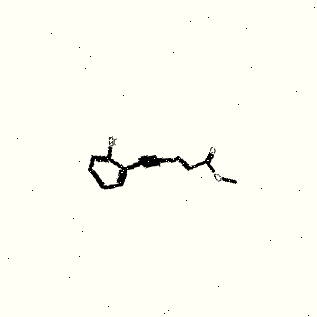 COC(=O)CCC#Cc1ccccc1Br